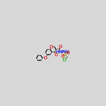 O=C(NNS(=O)(=O)CCl)c1coc2ccc(Oc3ccccc3)cc2c1=O